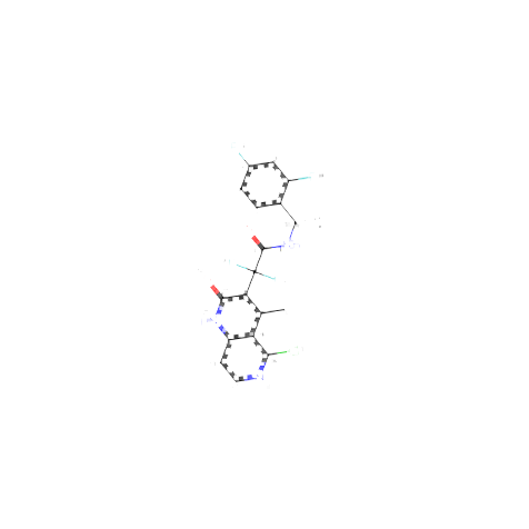 Cc1c(C(F)(F)C(=O)N[C@@H](C)c2ccc(F)cc2F)c(=O)[nH]c2ccnc(Cl)c12